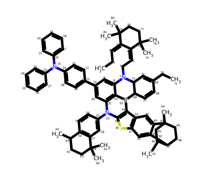 CC/C=C1\C(=C/CN2c3cc(-c4ccc(N(c5ccccc5)c5ccccc5)cc4)cc4c3B(c3c(sc5cc6c(cc35)C3(C)CCC(CC3)C6C)N4c3ccc4c(c3)C(C)(C)CCC4C)C3C=CC(CC)=CC32)C(C)(C)CCC1(C)C